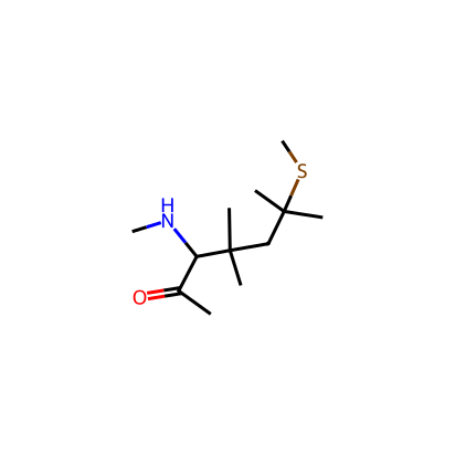 CNC(C(C)=O)C(C)(C)CC(C)(C)SC